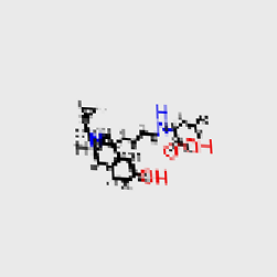 CC(C)C[C@H](NCCCC[C@@]12CN(CC3CC3)[C@H](Cc3ccc(O)cc31)[C@@H]2C)C(=O)O